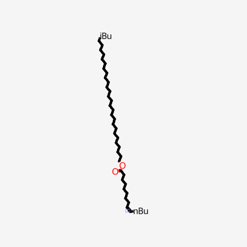 CCCC/C=C\CCCCCCCC(=O)OCCCCCCCCCCCCCCCCCCCCCCCCCCCC(C)CC